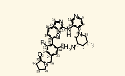 C[C@@H]1C[C@H](N)CN(c2ccncc2Nc2ncc3ccc(-c4c(F)cc(CN5CCCC5=O)cc4F)nn23)C1